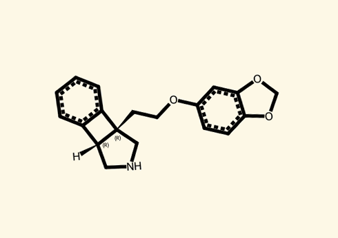 c1ccc2c(c1)[C@H]1CNC[C@@]21CCOc1ccc2c(c1)OCO2